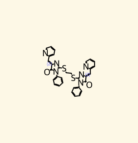 O=C1/C(=C/c2ccccn2)N=C(SCCSC2=N/C(=C\c3ccccn3)C(=O)N2c2ccccc2)N1c1ccccc1